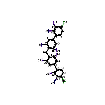 Fc1ccc(-c2cc(I)c(Cc3c(I)cc(-c4ccc(F)c(I)c4I)cc3I)c(I)c2)c(I)c1I